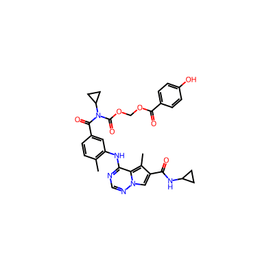 Cc1ccc(C(=O)N(C(=O)OCOC(=O)c2ccc(O)cc2)C2CC2)cc1Nc1ncnn2cc(C(=O)NC3CC3)c(C)c12